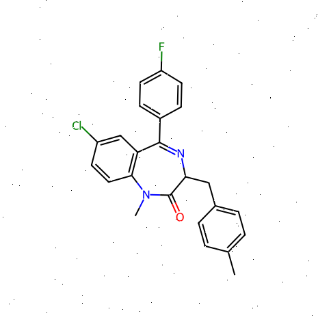 Cc1ccc(CC2N=C(c3ccc(F)cc3)c3cc(Cl)ccc3N(C)C2=O)cc1